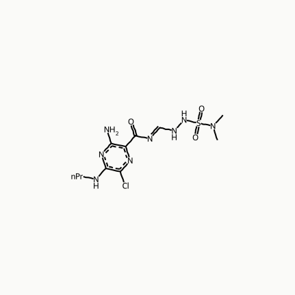 CCCNc1nc(N)c(C(=O)N=CNNS(=O)(=O)N(C)C)nc1Cl